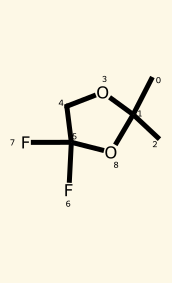 CC1(C)OCC(F)(F)O1